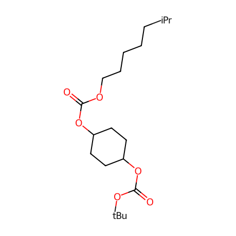 CC(C)CCCCCOC(=O)OC1CCC(OC(=O)OC(C)(C)C)CC1